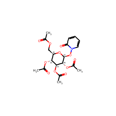 CC(=O)OC[C@H]1O[C@@H](On2ccccc2=O)[C@H](OC(C)=O)[C@@H](OC(C)=O)[C@@H]1OC(C)=O